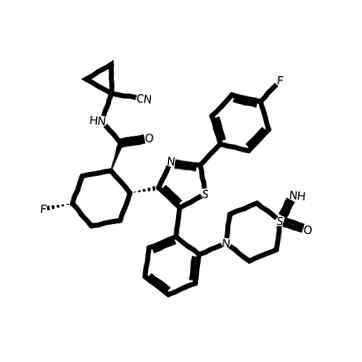 N#CC1(NC(=O)[C@@H]2C[C@@H](F)CC[C@H]2c2nc(-c3ccc(F)cc3)sc2-c2ccccc2N2CCS(=N)(=O)CC2)CC1